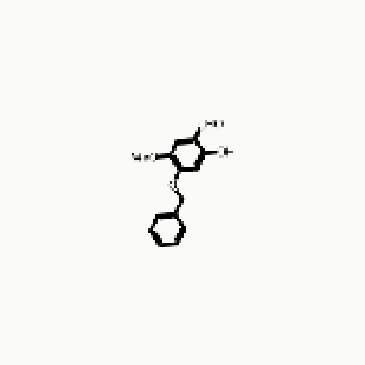 COc1cc(C=O)c(O)cc1OCc1ccccc1